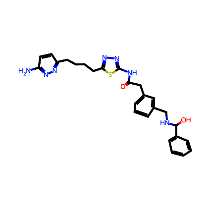 Nc1ccc(CCCCc2nnc(NC(=O)Cc3cccc(CNC(O)c4ccccc4)c3)s2)nn1